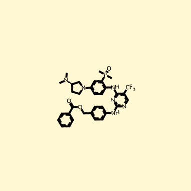 CN(C)[C@@H]1CCN(c2ccc(Nc3nc(Nc4ccc(COC(=O)c5ccccc5)cc4)ncc3C(F)(F)F)c(P(C)(C)=O)c2)C1